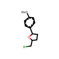 COc1ccc(C2CCC(CBr)O2)cc1